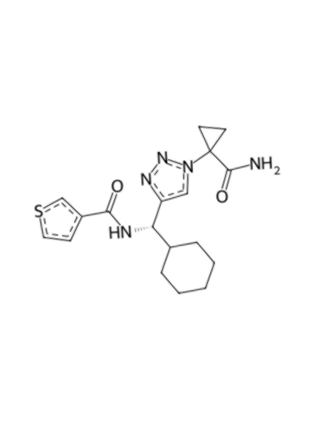 NC(=O)C1(n2cc([C@@H](NC(=O)c3ccsc3)C3CCCCC3)nn2)CC1